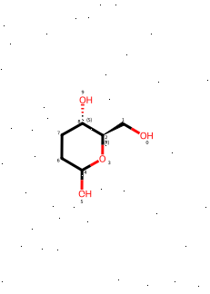 OC[C@H]1OC(O)CC[C@@H]1O